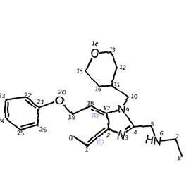 C/C=c1/nc(CNCC)n(CC2CCOCC2)/c1=C/COc1ccccc1